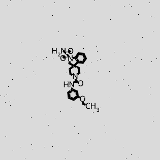 CCOc1cccc(NC(=O)N2CCC3(CC2)CN(S(N)(=O)=O)c2ccccc23)c1